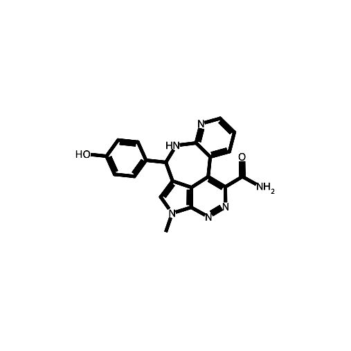 Cn1cc2c3c(c(C(N)=O)nnc31)-c1cccnc1NC2c1ccc(O)cc1